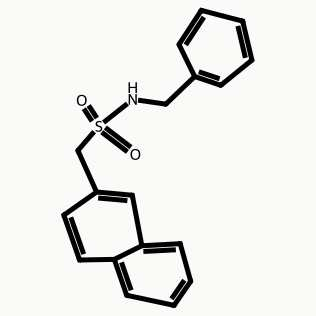 O=S(=O)(Cc1ccc2ccccc2c1)NCc1ccccc1